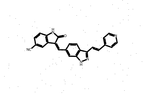 N#Cc1ccc2c(c1)/C(=C/c1ccc3c(/C=C/c4ccncc4)n[nH]c3c1)C(=O)N2